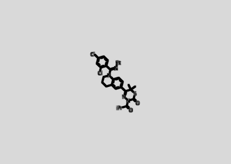 CCN=C(c1ccc(Cl)cc1Cl)N1CCCc2cc(C3=NN(C(=O)C(C)C)C(=O)SC3(C)C)ccc21